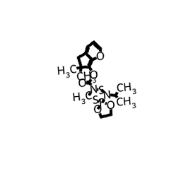 CC(C)N(SN(C)C(=O)OC1=C2OC=CC=C2CC1(C)C)P1(=S)OCCO1